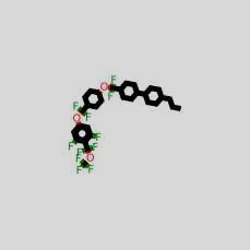 CCCC1CCC(C2CCC(C(F)(F)OC3CCC(C(F)(F)Oc4cc(F)c(C(F)(F)OC(F)(F)F)c(F)c4)CC3)CC2)CC1